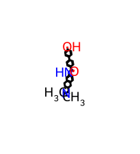 CN(C)CC1CCc2cc(NC(=O)c3ccc(-c4ccc(O)cc4)cc3)ccc2C1